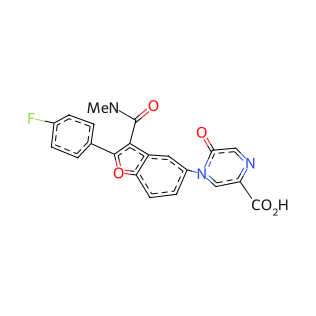 CNC(=O)c1c(-c2ccc(F)cc2)oc2ccc(-n3cc(C(=O)O)ncc3=O)cc12